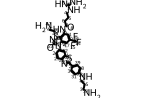 N=C(N)NCCCC(=O)Nc1cc(C(F)(F)F)cc(N(C(N)=O)c2ccc3nc(-c4ccc(NCCCN)cc4)sc3c2)c1SCCN